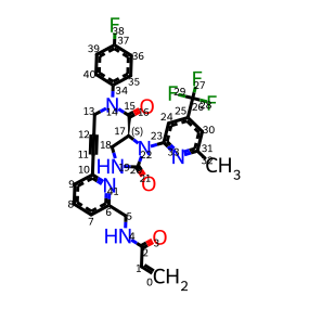 C=CC(=O)NCc1cccc(C#CCN(C(=O)[C@@H]2CNC(=O)N2c2cc(C(F)(F)F)cc(C)n2)c2ccc(F)cc2)n1